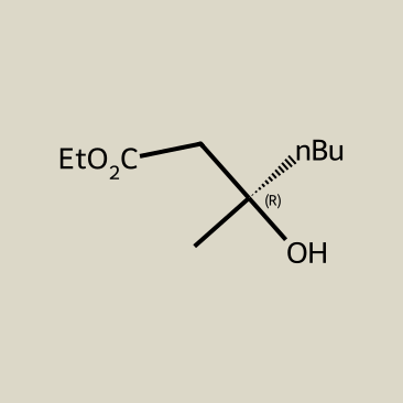 CCCC[C@@](C)(O)CC(=O)OCC